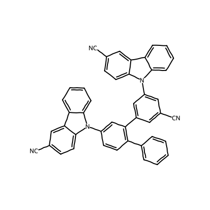 N#Cc1cc(-c2cc(-n3c4ccccc4c4cc(C#N)ccc43)ccc2-c2ccccc2)cc(-n2c3ccccc3c3cc(C#N)ccc32)c1